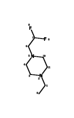 CCN1CCN(CC(F)F)CC1